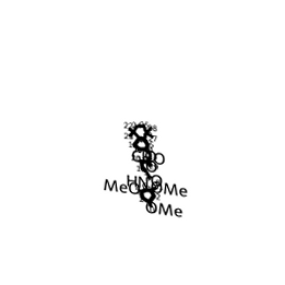 COc1cc(OC)c(NC(=O)c2ccc(Oc3cc4c(cc3C=O)C(C)(C)CCC4(C)C)o2)c(OC)c1